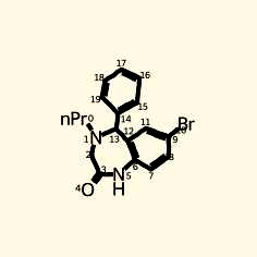 CCCN1CC(=O)Nc2ccc(Br)cc2C1c1ccccc1